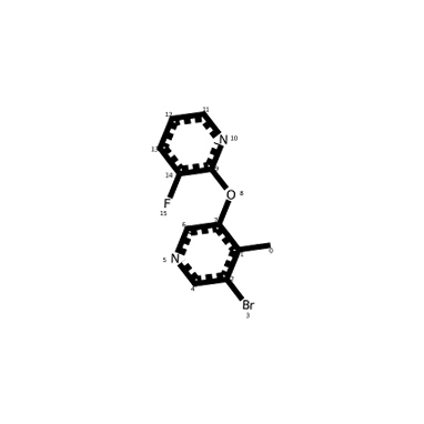 Cc1c(Br)cncc1Oc1ncccc1F